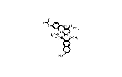 COc1cc2c(cc1Nc1ncc(Cl)c(Nc3ccc(OC(F)F)cc3OP(C)C)n1)CN(C)CC2.P